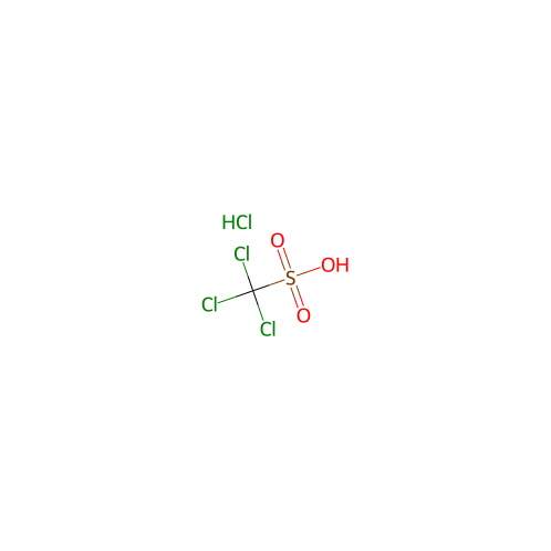 Cl.O=S(=O)(O)C(Cl)(Cl)Cl